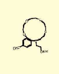 COCCN1CCOCCOCCOCCOc2cc(C=O)ccc21